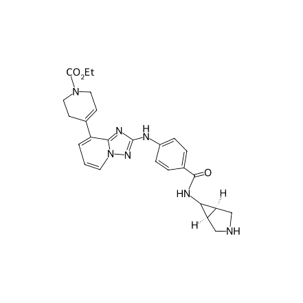 CCOC(=O)N1CC=C(c2cccn3nc(Nc4ccc(C(=O)NC5[C@H]6CNC[C@@H]56)cc4)nc23)CC1